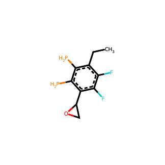 CCc1c(F)c(F)c(C2CO2)c(P)c1P